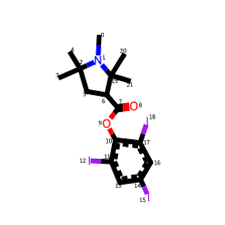 CN1C(C)(C)CC(C(=O)Oc2c(I)cc(I)cc2I)C1(C)C